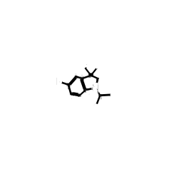 CC(C)N1CC(C)(C)c2cc(F)ccc21